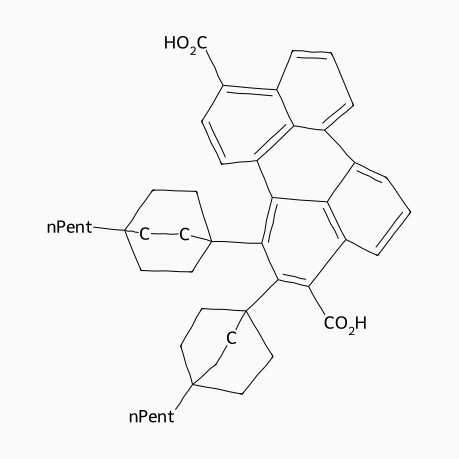 CCCCCC12CCC(c3c(C(=O)O)c4cccc5c6cccc7c(C(=O)O)ccc(c(c3C38CCC(CCCCC)(CC3)CC8)c45)c76)(CC1)CC2